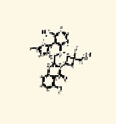 Cc1nnc(-c2c(N)ncnc2N[C@@H](C)c2nc3cccc(Cl)c3c(=O)n2C2CC(F)(CO)C2)o1